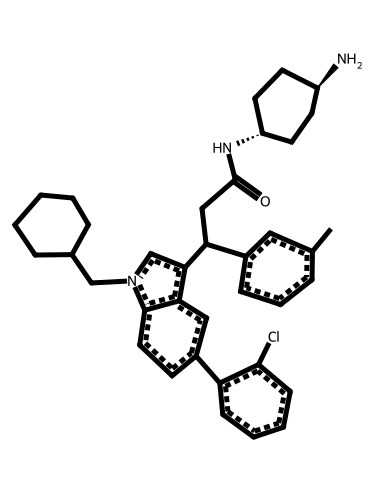 Cc1cccc(C(CC(=O)N[C@H]2CC[C@H](N)CC2)c2cn(CC3CCCCC3)c3ccc(-c4ccccc4Cl)cc23)c1